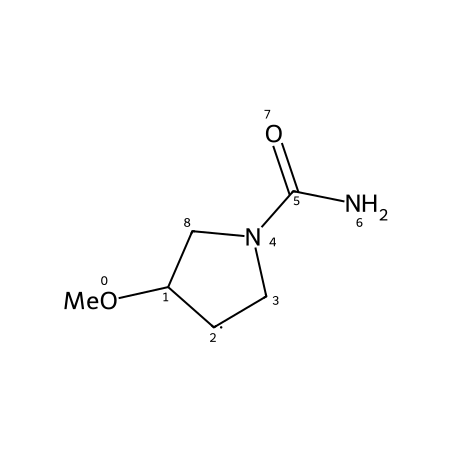 COC1[CH]CN(C(N)=O)C1